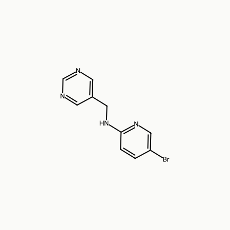 Brc1ccc(NCc2cncnc2)nc1